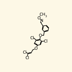 CON=Cc1cccc(COc2c(Cl)cc(OCC=C(Cl)Cl)cc2Cl)c1